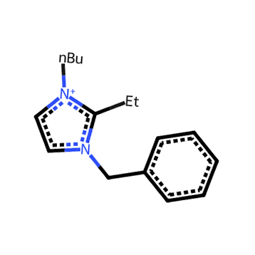 CCCC[n+]1ccn(Cc2ccccc2)c1CC